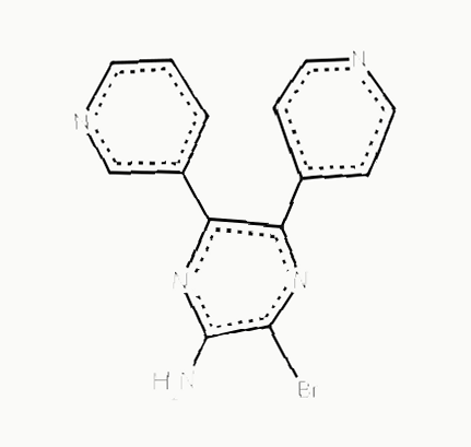 Nc1nc(-c2cccnc2)c(-c2ccncc2)nc1Br